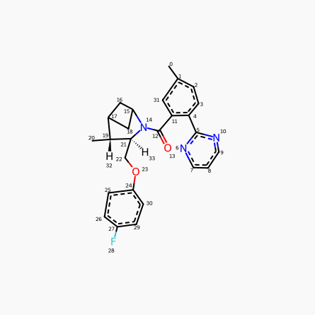 Cc1ccc(-c2ncccn2)c(C(=O)N2C3CC(C3)[C@@H](C)[C@@H]2COc2ccc(F)cc2)c1